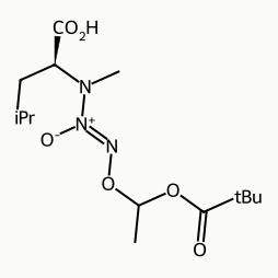 CC(C)C[C@@H](C(=O)O)N(C)[N+]([O-])=NOC(C)OC(=O)C(C)(C)C